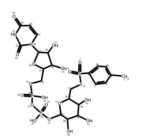 Cc1ccc(S(=O)(=O)SCC2OC(OP(=O)(O)OP(=O)(O)OCC3OC(n4ccc(=O)[nH]c4=O)C(O)C3O)C(O)C(O)C2O)cc1